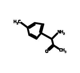 CC(=O)C(N)c1ccc(C)cc1